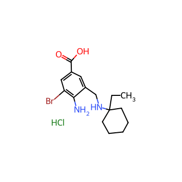 CCC1(NCc2cc(C(=O)O)cc(Br)c2N)CCCCC1.Cl